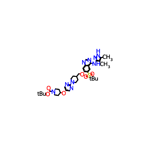 Cc1[nH]nc(Nc2ncnc3cc(OCC4CCN(c5ncc(OC6CCN(C(=O)OC(C)(C)C)CC6)cn5)CC4)c(S(=O)(=O)C(C)(C)C)cc23)c1C